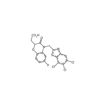 O=C(O)CC1Oc2ccc(F)cc2N(Cc2nc3cc(Cl)c(Cl)c(Cl)c3s2)C1=O